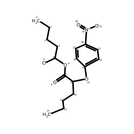 CCCCC(Cl)OC(=O)C(CCCC)Oc1ccc([N+](=O)[O-])cc1